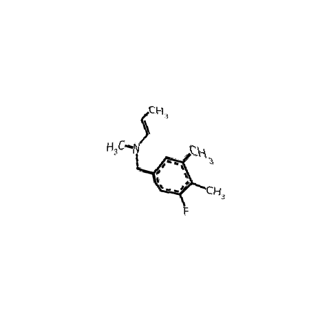 C/C=C/N(C)Cc1cc(C)c(C)c(F)c1